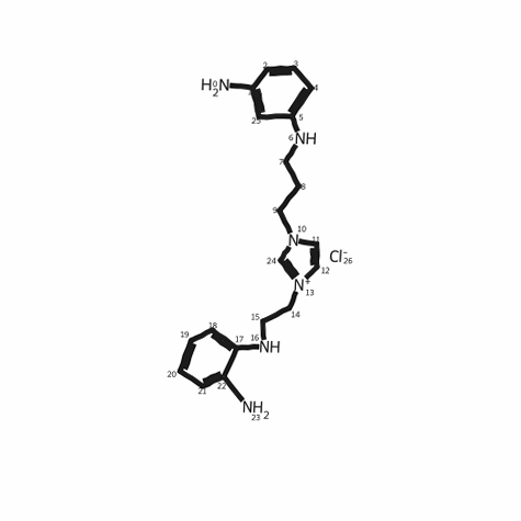 Nc1cccc(NCCCn2cc[n+](CCNc3ccccc3N)c2)c1.[Cl-]